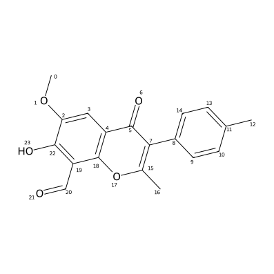 COc1cc2c(=O)c(-c3ccc(C)cc3)c(C)oc2c(C=O)c1O